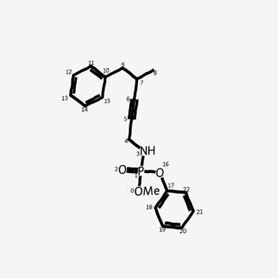 COP(=O)(NCC#CC(C)Cc1ccccc1)Oc1ccccc1